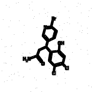 NC(=O)CC(c1ccc(Br)nc1)c1cc(Cl)c(Cl)cc1O